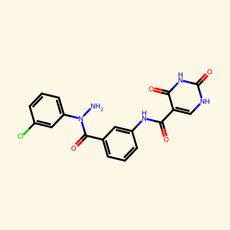 NN(C(=O)c1cccc(NC(=O)c2c[nH]c(=O)[nH]c2=O)c1)c1cccc(Cl)c1